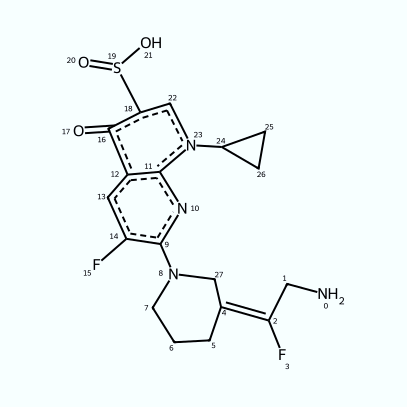 NC/C(F)=C1/CCCN(c2nc3c(cc2F)c(=O)c(S(=O)O)cn3C2CC2)C1